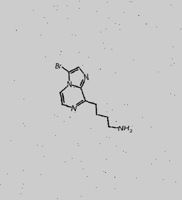 NCCCCc1nccn2c(Br)cnc12